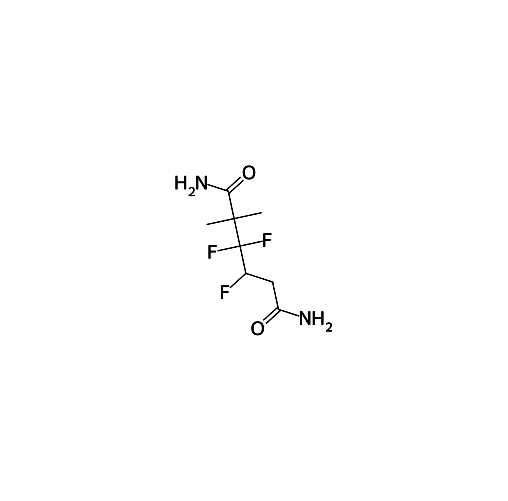 CC(C)(C(N)=O)C(F)(F)C(F)CC(N)=O